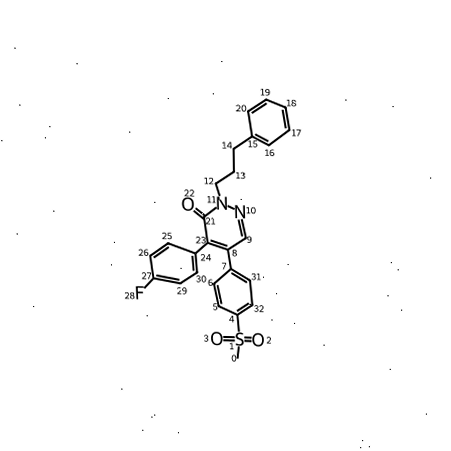 CS(=O)(=O)c1ccc(-c2cnn(CCCc3ccccc3)c(=O)c2-c2ccc(F)cc2)cc1